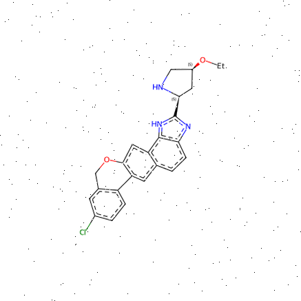 CCO[C@@H]1CN[C@H](c2nc3ccc4cc5c(cc4c3[nH]2)OCc2cc(Cl)ccc2-5)C1